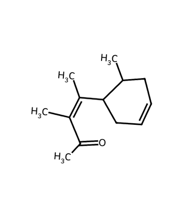 CC(=O)C(C)=C(C)C1CC=CCC1C